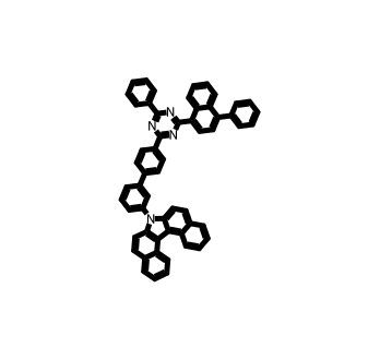 c1ccc(-c2nc(-c3ccc(-c4cccc(-n5c6ccc7ccccc7c6c6c7ccccc7ccc65)c4)cc3)nc(-c3ccc(-c4ccccc4)c4ccccc34)n2)cc1